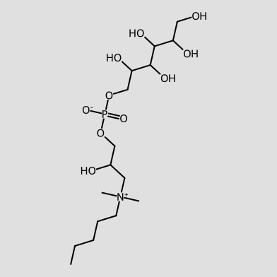 CCCCC[N+](C)(C)CC(O)COP(=O)([O-])OCC(O)C(O)C(O)C(O)CO